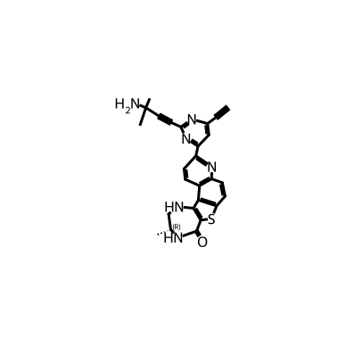 C#Cc1cc(-c2ccc3c(ccc4sc5c(c43)NC[C@@H](C)NC5=O)n2)nc(C#CC(C)(C)N)n1